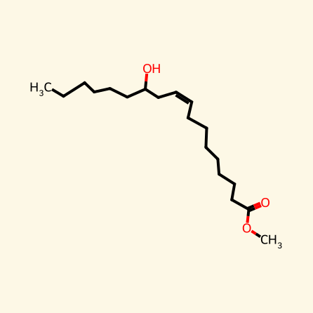 CCCCCCC(O)C/C=C\CCCCCCCC(=O)OC